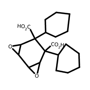 O=C(O)C1(C2CCCCC2)C2OC2C2OC2C1(C(=O)O)C1CCCCC1